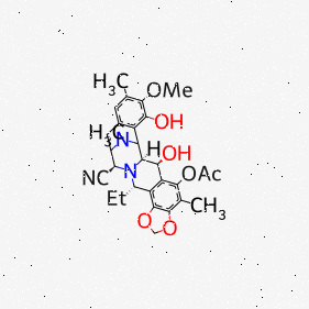 CC[C@H]1c2c3c(c(C)c(OC(C)=O)c2[C@H](O)[C@@H]2C4c5c(cc(C)c(OC)c5O)CC([C@H](C#N)N12)N4C)OCO3